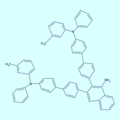 Cc1cccc(N(c2ccccc2)c2ccc(-c3ccc(-c4cc5ccccc5c(N)c4-c4ccc(-c5ccc(N(c6ccccc6)c6cccc(C)c6)cc5)cc4)cc3)cc2)c1